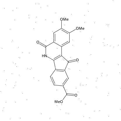 COC(=O)c1ccc2c(c1)C(=O)c1c-2[nH]c(=O)c2cc(OC)c(OC)cc12